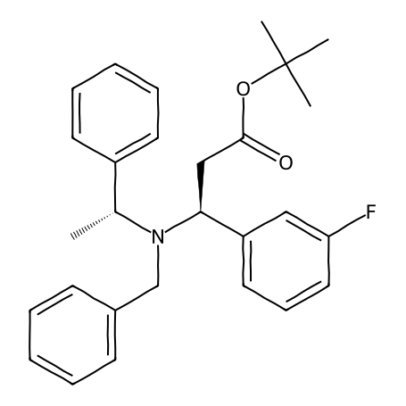 C[C@H](c1ccccc1)N(Cc1ccccc1)[C@@H](CC(=O)OC(C)(C)C)c1cccc(F)c1